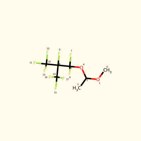 COC(C)OC(F)(F)C(F)(C(F)(F)F)C(F)(F)F